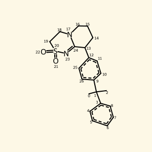 CC(C)(c1ccccc1)c1ccc(C2CCCN3CCS(=O)(=O)N=C23)cc1